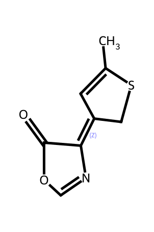 CC1=C/C(=C2/N=COC2=O)CS1